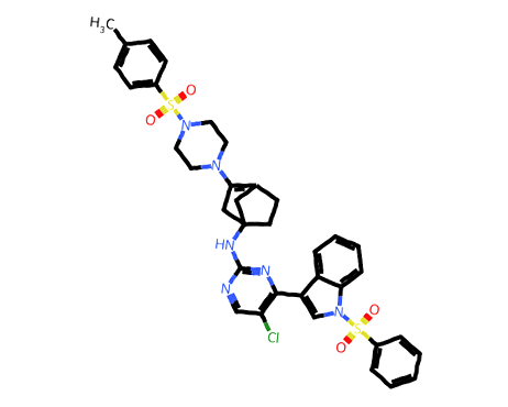 Cc1ccc(S(=O)(=O)N2CCN(C3=C4CCC(Nc5ncc(Cl)c(-c6cn(S(=O)(=O)c7ccccc7)c7ccccc67)n5)(C4)C3)CC2)cc1